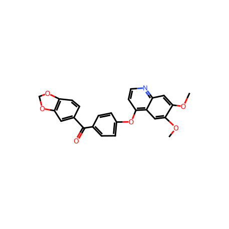 COc1cc2nccc(Oc3ccc(C(=O)c4ccc5c(c4)OCO5)cc3)c2cc1OC